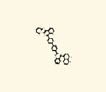 c1ccc2c(-c3nc(-c4ccc(-c5ccc(-c6nc7c(nc8ccccn87)c7ccccc67)cc5)cc4)nc4ccccc34)cccc2c1